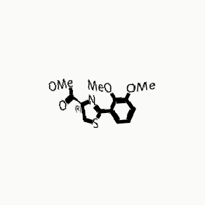 COC(=O)[C@@H]1CSC(c2cccc(OC)c2OC)=N1